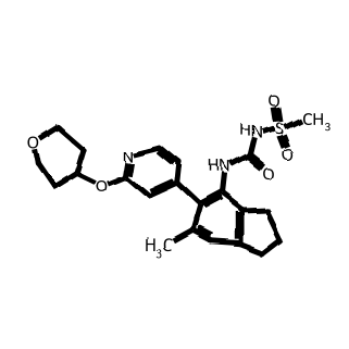 Cc1cc2c(c(NC(=O)NS(C)(=O)=O)c1-c1ccnc(OC3CCOCC3)c1)CCC2